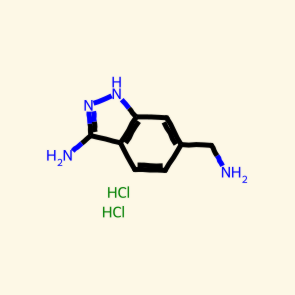 Cl.Cl.NCc1ccc2c(N)n[nH]c2c1